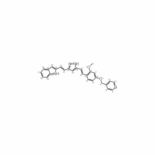 COc1cc(OCc2ccncc2)ccc1C=Cc1cc(C=Cc2cc3ccccc3[nH]2)n[nH]1